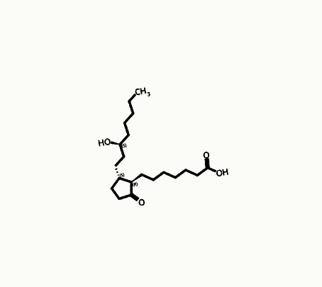 CCCCC[C@H](O)CC[C@H]1CCC(=O)[C@@H]1CCCCCCC(=O)O